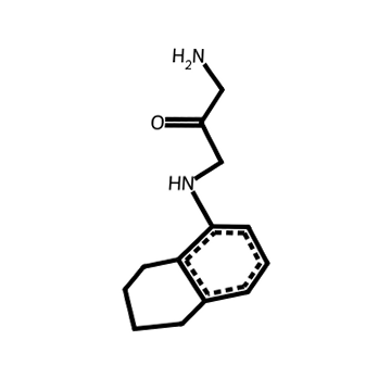 NCC(=O)CNc1cccc2c1CCCC2